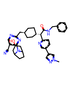 Cn1cc(-c2ccc(C(C(=O)NCc3ccccc3)[C@H]3CC[C@H](Cc4ncc(C#N)c(N5C6CCC5CC(O)C6)n4)CC3)nc2)cn1